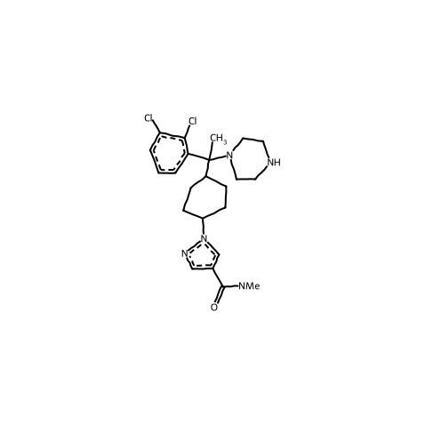 CNC(=O)c1cnn(C2CCC(C(C)(c3cccc(Cl)c3Cl)N3CCNCC3)CC2)c1